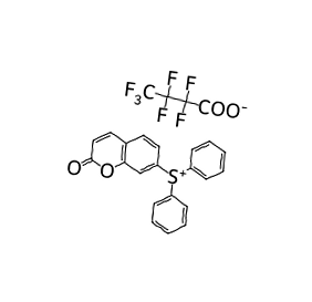 O=C([O-])C(F)(F)C(F)(F)C(F)(F)F.O=c1ccc2ccc([S+](c3ccccc3)c3ccccc3)cc2o1